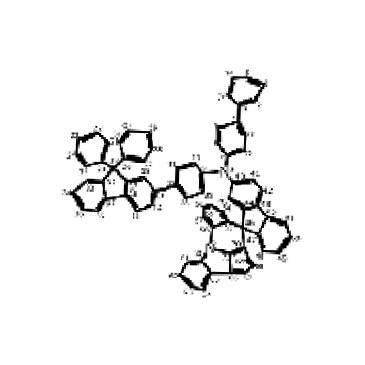 c1ccc(-c2ccc(N(c3ccc(-c4ccc5c(c4)C(c4ccccc4)(c4ccccc4)c4ccccc4-5)cc3)c3ccc4c(c3)C3(c5ccccc5-4)c4ccccc4-n4c5ccccc5c5cccc3c54)cc2)cc1